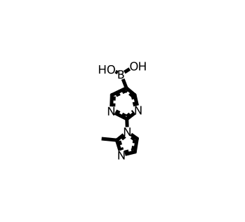 Cc1nccn1-c1ncc(B(O)O)cn1